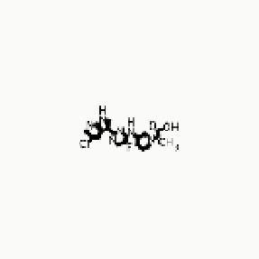 CC(C(=O)O)N1CCCC(Nc2nc(-c3c[nH]c4ncc(Cl)cc34)ncc2F)C1